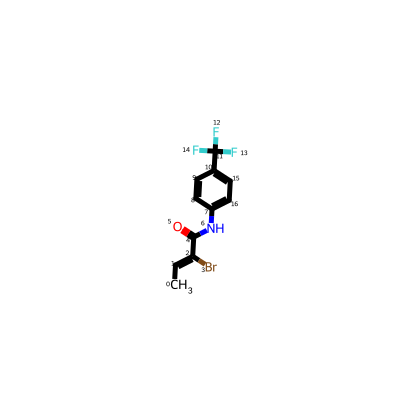 CC=C(Br)C(=O)Nc1ccc(C(F)(F)F)cc1